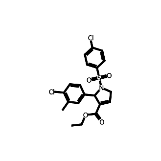 CCOC(=O)C1=CCN(S(=O)(=O)c2ccc(Cl)cc2)C1c1ccc(Cl)c(C)c1